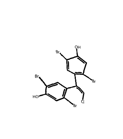 Oc1cc(Br)c(C(=CCl)c2cc(Br)c(O)cc2Br)cc1Br